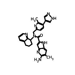 Cc1cc2[nH]c(C(=O)N(Cc3ccc(-c4cn[nH]c4)c(C)n3)C3CCCc4cccnc43)cc2nc1N